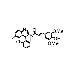 COc1cc(C=CC(=O)Nc2cnc3ccc(C)cc3c2-c2ccccc2Cl)cc(OC)c1O